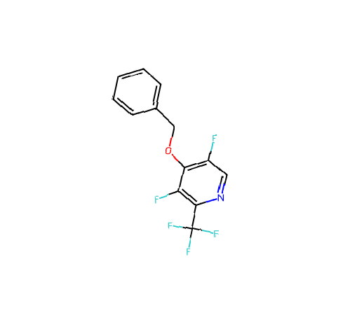 Fc1cnc(C(F)(F)F)c(F)c1OCc1ccccc1